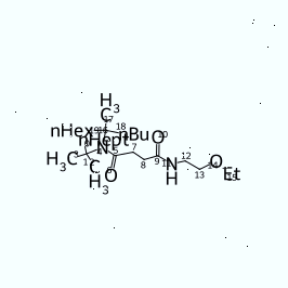 CCCCCCCC(C)(C)N(C(=O)CCC(=O)NCCOCC)C(C)(CCCC)CCCCCC